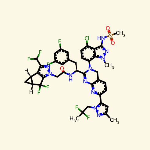 Cc1cc(-c2ccc3c(n2)N=C([C@H](Cc2cc(F)cc(F)c2)NC(=O)Cn2nc(C(F)F)c4c2C(F)(F)[C@@H]2C[C@H]42)N(c2ccc(Cl)c4c(NS(C)(=O)=O)nn(C)c24)C3)n(CC(C)(F)F)n1